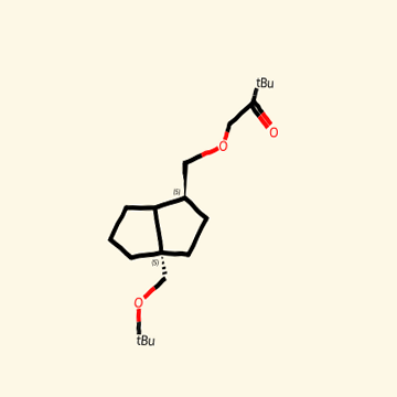 CC(C)(C)OC[C@]12CCCC1[C@@H](COCC(=O)C(C)(C)C)CC2